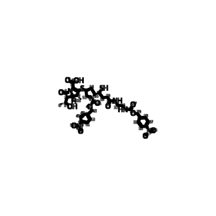 C[C@@H](O)[C@H]1C(=O)N2C(C(=O)O)=C(S[C@H]3C[C@@H](C(S)CCC(=O)NCCNC(=O)OCc4ccc([N+](=O)[O-])cc4)N(C(=O)OCc4ccc([N+](=O)[O-])cc4)C3)[C@H](C)[C@H]12